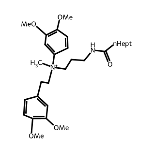 CCCCCCCC(=O)NCCC[N+](C)(CCc1ccc(OC)c(OC)c1)c1ccc(OC)c(OC)c1